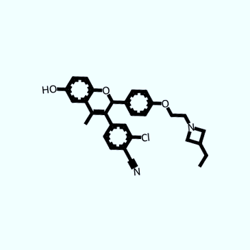 CCC1CN(CCOc2ccc(C3Oc4ccc(O)cc4C(C)=C3c3ccc(C#N)c(Cl)c3)cc2)C1